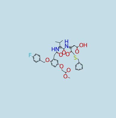 COC(=O)COc1ccc(OCc2ccc(F)cc2)c(CC(=O)N[C@H](C(=O)N[C@@H](CC(=O)O)C(=O)CSCc2ccccc2)C(C)C)c1